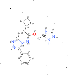 c1ccc(-c2nnc3cc(C4CCC4)c(OCc4ncn[nH]4)nn23)cc1